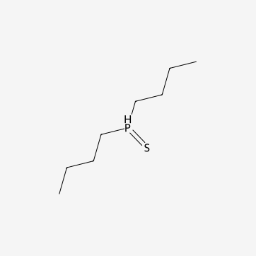 CCCC[PH](=S)CCCC